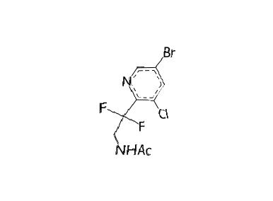 CC(=O)NCC(F)(F)c1ncc(Br)cc1Cl